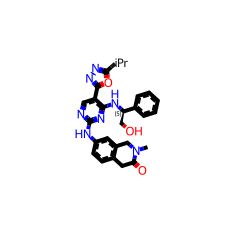 CC(C)c1nnc(-c2cnc(Nc3ccc4c(c3)CN(C)C(=O)C4)nc2N[C@H](CO)c2ccccc2)o1